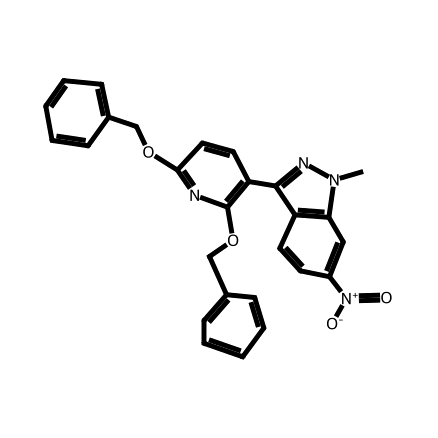 Cn1nc(-c2ccc(OCc3ccccc3)nc2OCc2ccccc2)c2ccc([N+](=O)[O-])cc21